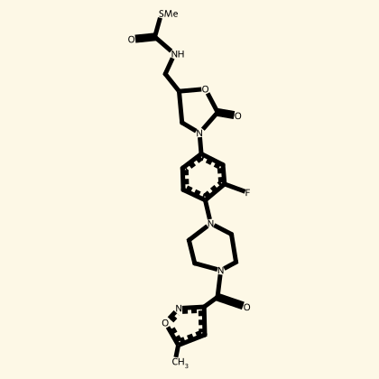 CSC(=O)NCC1CN(c2ccc(N3CCN(C(=O)c4cc(C)on4)CC3)c(F)c2)C(=O)O1